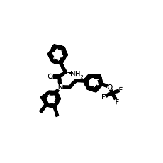 Cc1ccc(N(CCc2ccc(OC(F)(F)F)cc2)C(=O)[C@@H](N)c2ccccc2)cc1C